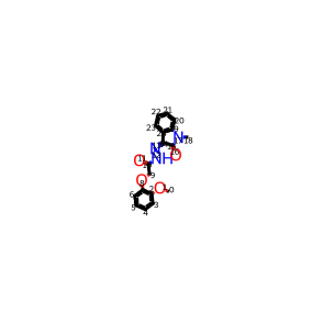 COc1ccccc1OCC(=O)N/N=C1\C(=O)N(C)c2ccccc21